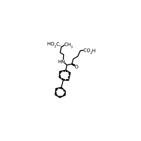 C[C@H](CCNC(C(=O)CCCC(=O)O)c1ccc(-c2ccccc2)cc1)C(=O)O